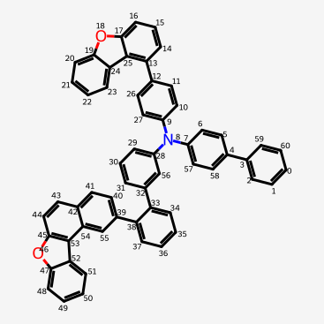 c1ccc(-c2ccc(N(c3ccc(-c4cccc5oc6ccccc6c45)cc3)c3cccc(-c4ccccc4-c4ccc5ccc6oc7ccccc7c6c5c4)c3)cc2)cc1